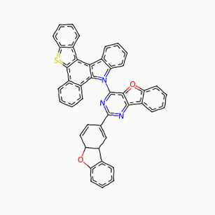 C1=CC2Oc3ccccc3C2C=C1c1nc(-n2c3ccccc3c3c4c5ccccc5sc4c4ccccc4c32)c2oc3ccccc3c2n1